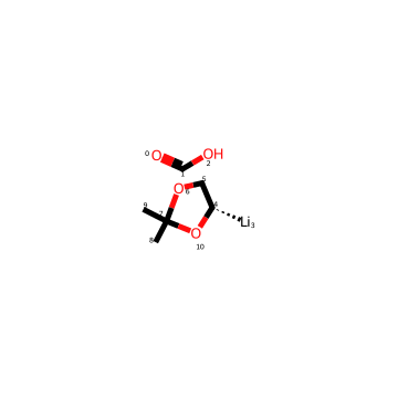 O=CO.[Li][C@H]1COC(C)(C)O1